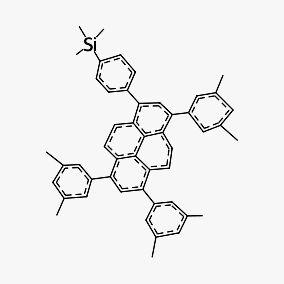 Cc1cc(C)cc(-c2cc(-c3ccc([Si](C)(C)C)cc3)c3ccc4c(-c5cc(C)cc(C)c5)cc(-c5cc(C)cc(C)c5)c5ccc2c3c45)c1